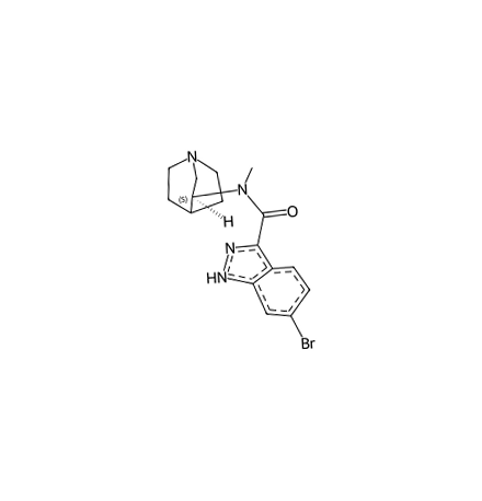 CN(C(=O)c1n[nH]c2cc(Br)ccc12)[C@@H]1CN2CCC1CC2